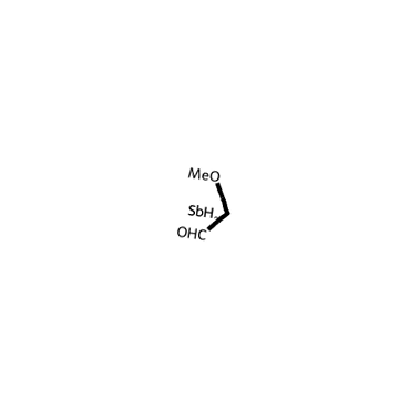 COCC=O.[SbH3]